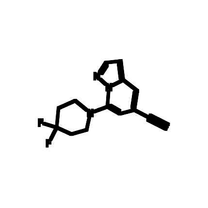 C#Cc1cc(N2CCC(F)(F)CC2)n2nccc2c1